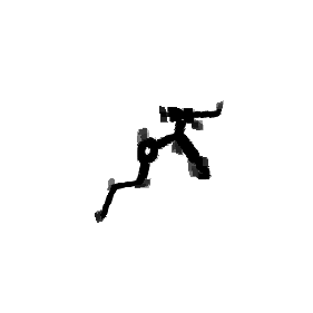 CC[CH]OC(=S)NC